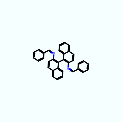 C(=N/c1ccc2ccccc2c1-c1c(/N=C\c2ccccc2)ccc2ccccc12)/c1ccccc1